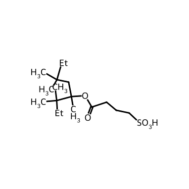 CCC(C)(C)CC(C)(OC(=O)CCCS(=O)(=O)O)C(C)(C)CC